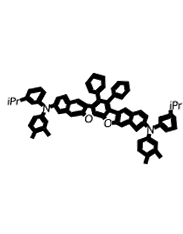 Cc1ccc(N(c2cccc(C(C)C)c2)c2ccc3cc4c(cc3c2)oc2c3oc5cc6cc(N(c7cccc(C(C)C)c7)c7ccc(C)c(C)c7)ccc6cc5c3c(-c3ccccc3)c(-c3ccccc3)c42)cc1C